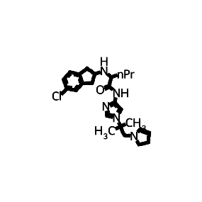 CCCC(NC1Cc2ccc(Cl)cc2C1)C(=O)Nc1cn(C(C)(C)CN2C=CCC2)cn1